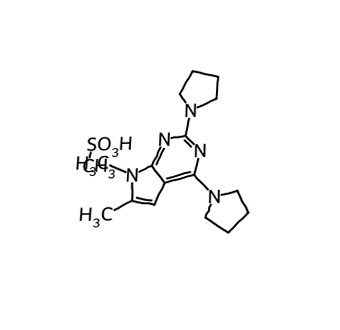 CS(=O)(=O)O.Cc1cc2c(N3CCCC3)nc(N3CCCC3)nc2n1C